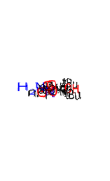 CCCN(OC(=O)CCc1cc(C(C)(C)C)c(O)c(C(C)(C)C)c1)C(=O)C(N)=O